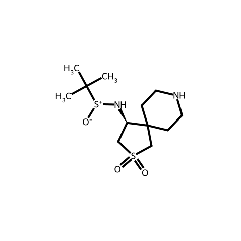 CC(C)(C)[S+]([O-])N[C@@H]1CS(=O)(=O)CC12CCNCC2